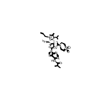 [2H]C[C@H]1OC(n2cnc3c(NC(=O)C(C)C)ncnc32)[C@@H](OC(=S)N2CCS(=O)(=O)CC2)[C@H]1OP(ONCC=C)N(C(C)C)C(C)C